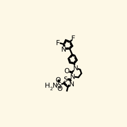 Cc1nc(N2CCCN(c3ccc(-c4cc(F)cc(F)n4)cc3)C2=O)sc1S(N)(=O)=O